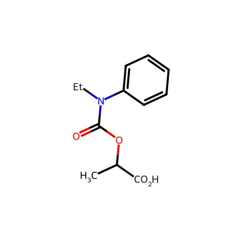 CCN(C(=O)OC(C)C(=O)O)c1ccccc1